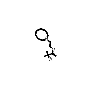 C=C(OCCN1CCCCCCC1)C(C)(C)CC